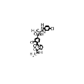 CNC(=O)[C@@H]1CCCN1C(=O)c1ccc(C(=O)N[C@H](C)c2nc3cc(Cl)ccc3[nH]2)cc1Cl